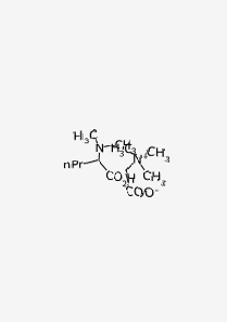 CCCC(C(=O)O)N(C)C.C[N+](C)(C)CC(=O)[O-]